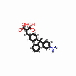 CN(C)c1ccc(C(C)(c2ccccc2)c2ccc(CC(C(=O)O)C(=O)O)cc2)cc1